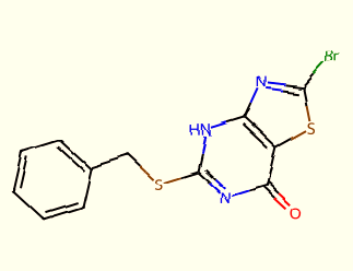 O=c1nc(SCc2ccccc2)[nH]c2nc(Br)sc12